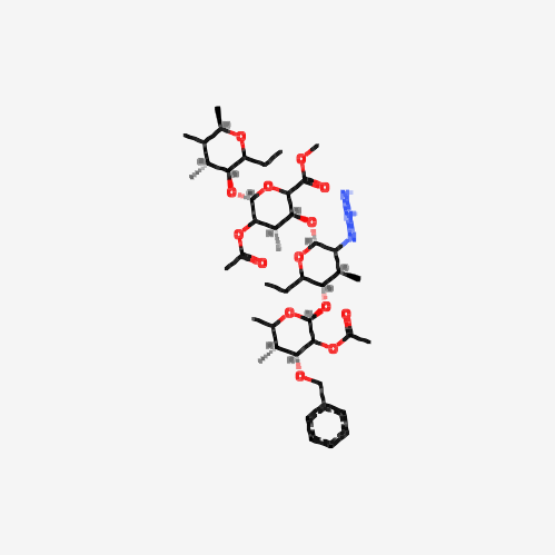 CCC1O[C@H](O[C@@H]2C(C(=O)OC)O[C@@H](O[C@@H]3C(CC)O[C@H](C)C(C)[C@H]3C)C(OC(C)=O)[C@H]2C)C(N=[N+]=[N-])[C@@H](C)[C@@H]1O[C@@H]1OC(C)[C@@H](C)[C@@H](OCc2ccccc2)C1OC(C)=O